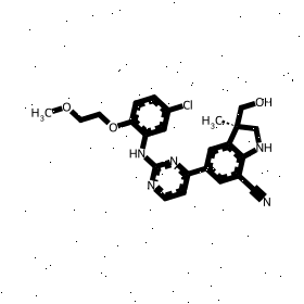 COCCOc1ccc(Cl)cc1Nc1nccc(-c2cc(C#N)c3c(c2)[C@@](C)(CO)CN3)n1